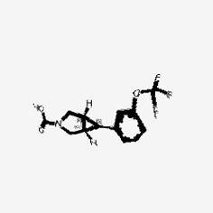 O=C(O)N1C[C@@H]2[C@H](C1)[C@H]2c1cccc(OC(F)(F)F)c1